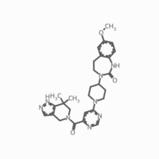 COc1ccc2c(c1)CCN(C1CCN(c3cc(C(=O)N4Cc5cn[nH]c5C(C)(C)C4)ncn3)CC1)C(=O)N2